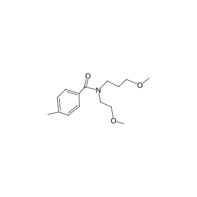 COCCCN(CCOC)C(=O)c1ccc(C)cc1